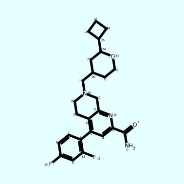 NC(=O)c1cc(-c2ccc(F)cc2F)c2c(n1)CN(CC1CCOC(C3CCC3)C1)CC2